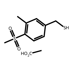 CC(=O)O.Cc1cc(CS)ccc1S(C)(=O)=O